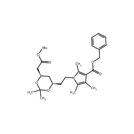 Cc1c(C(=O)OCc2ccccc2)c(C)n(CC[C@@H]2C[C@H](CC(=O)OC(C)(C)C)OC(C)(C)O2)c1C